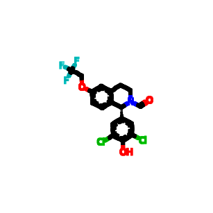 O=CN1CCc2cc(OCC(F)(F)F)ccc2[C@H]1c1cc(Cl)c(O)c(Cl)c1